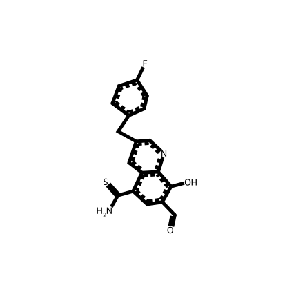 NC(=S)c1cc(C=O)c(O)c2ncc(Cc3ccc(F)cc3)cc12